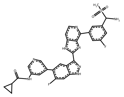 CS(=O)(=O)C(N)c1cc(F)cc(-c2nccc3[nH]c(-c4n[nH]c5cc(F)c(-c6cncc(NC(=O)C7CC7)c6)cc45)nc23)c1